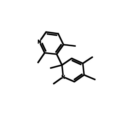 CC1=CN(C)C(C)(c2c(C)ccnc2C)C=C1C